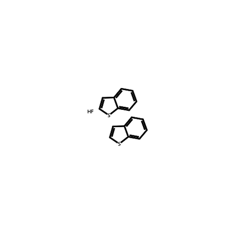 F.c1ccc2sccc2c1.c1ccc2sccc2c1